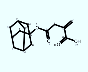 C=C(CC(=O)OC12CC3CC(CC(C3)C1)C2)C(=O)O